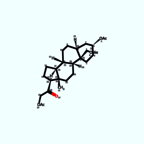 COC[C@]12CC[C@@H](OC(C)=O)C[C@@H]1CC[C@H]1[C@@H]3CC[C@H](C(=O)COC(C)=O)[C@@]3(C)CC[C@@H]12